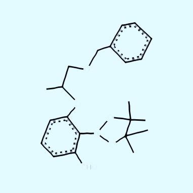 CC(COCc1ccccc1)Oc1cccc(C=O)c1B1OC(C)(C)C(C)(C)O1